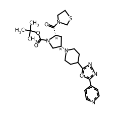 CC(C)(C)OC(=O)N1C[C@@H](N2CCC(c3nnc(-c4ccncc4)o3)CC2)C[C@H]1C(=O)N1CCSC1